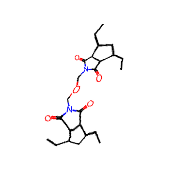 CCC1CC(CC)C2C(=O)N(COCN3C(=O)C4C(CC)CC(CC)C4C3=O)C(=O)C12